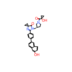 O=C(N1CC[C@@H](CN2C(=O)C3(CC3)N=C2c2ccc(-c3ccc4cc(O)ccc4c3)cc2)C1)C1(O)CC1